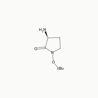 CCCCON1CC[C@H](N)C1=O